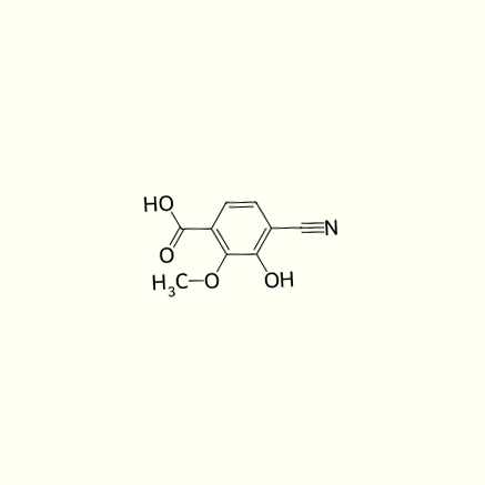 COc1c(C(=O)O)ccc(C#N)c1O